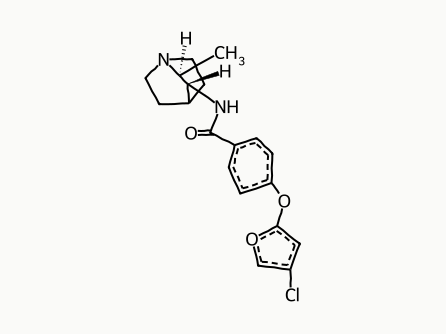 C[C@H]1[C@H](NC(=O)c2ccc(Oc3cc(Cl)co3)cc2)C2CCN1CC2